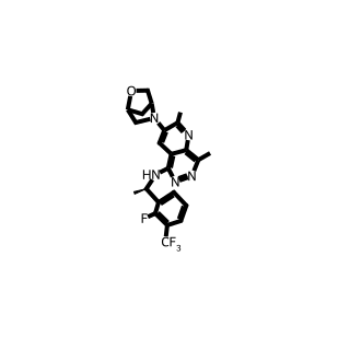 Cc1nc2c(C)nnc(N[C@H](C)c3cccc(C(F)(F)F)c3F)c2cc1N1CC2CC1CO2